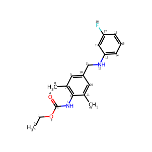 CCOC(=O)Nc1c(C)cc(CNc2cccc(F)c2)cc1C